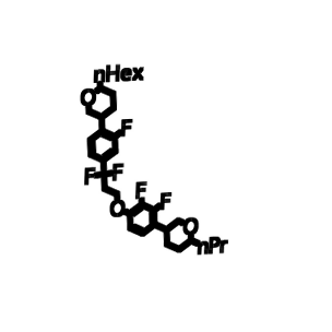 CCCCCCC1CCC(c2ccc(C(F)(F)CCOc3ccc(C4CCC(CCC)OC4)c(F)c3F)cc2F)CO1